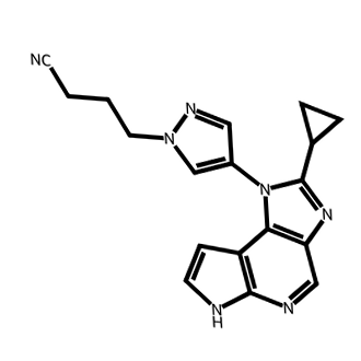 N#CCCCn1cc(-n2c(C3CC3)nc3cnc4[nH]ccc4c32)cn1